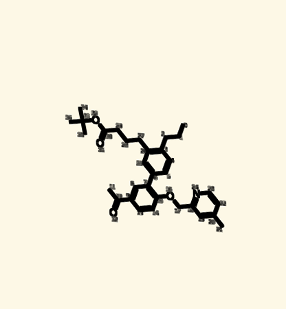 CCCc1ccc(-c2cc(C(C)=O)ccc2OCc2cc(C)ccn2)cc1CCCC(=O)OC(C)(C)C